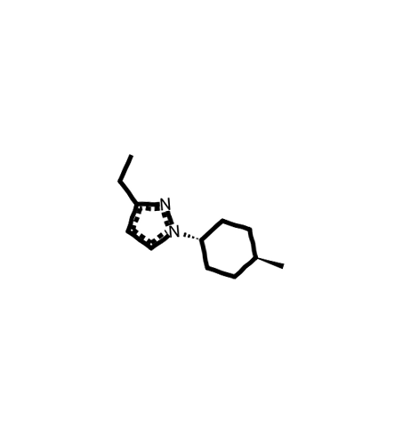 CCc1ccn([C@H]2CC[C@H](C)CC2)n1